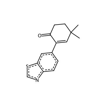 CC1(C)C=C(c2ccc3ncsc3c2)C(=O)CC1